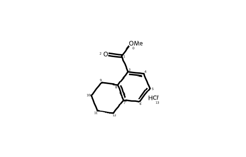 COC(=O)c1cccc2c1CCCC2.Cl